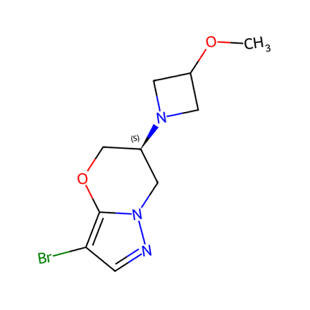 COC1CN([C@@H]2COc3c(Br)cnn3C2)C1